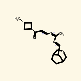 CC(=N/C=C/C(=N)[C@H]1C[C@@H](C)C1)/N=C/C1CC2CCC1CSC2